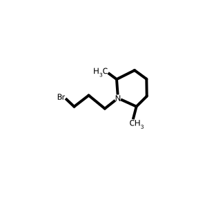 CC1CCCC(C)N1CCCBr